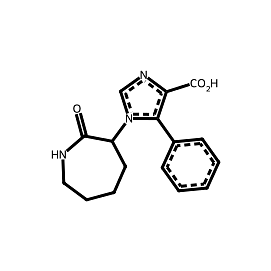 O=C(O)c1ncn(C2CCCCNC2=O)c1-c1ccccc1